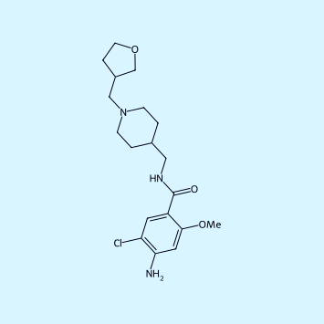 COc1cc(N)c(Cl)cc1C(=O)NCC1CCN(CC2CCOC2)CC1